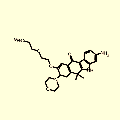 COCCOCCOC1=CC2=C(CC1N1CCOCC1)C(C)(C)c1[nH]c3cc(N)ccc3c1C2=O